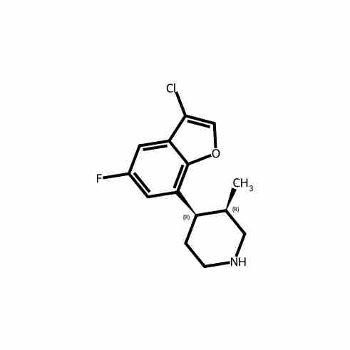 C[C@H]1CNCC[C@H]1c1cc(F)cc2c(Cl)coc12